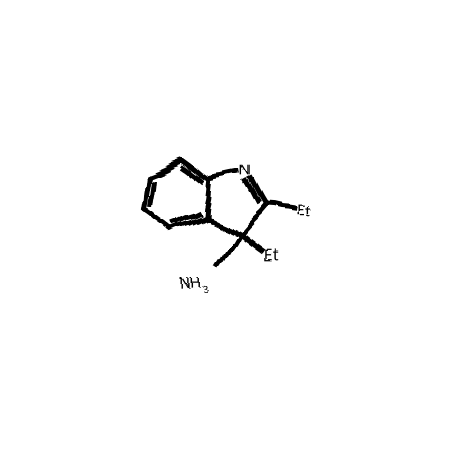 CCC1=Nc2ccccc2C1(C)CC.N